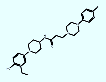 N#Cc1ccc(N2CCC(NC(=O)CCN3CCN(c4ccc(Cl)cc4)CC3)CC2)cc1CF